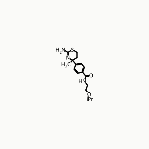 CC(C)OCCNC(=O)c1ccc(C2(C)CCSC(N)=N2)cc1